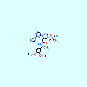 COc1ccc(C(C)NC(=O)CC2CN(S(=O)(=O)N(C)C)CCN2c2cc(Cl)nc(-n3ccnc3)n2)cc1OC